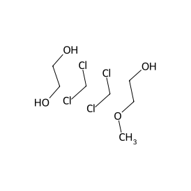 COCCO.ClCCl.ClCCl.OCCO